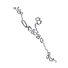 C=CC(=O)OCCCCCCOc1ccc(C(=O)Oc2ccc(OC(=O)c3ccc(CCCCCCOC(=O)C=C)cc3)c(\C=C/C=C/C=C\c3cccc4ccccc34)c2)cc1